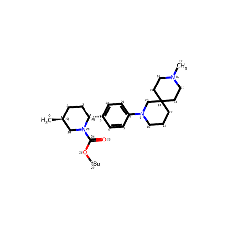 C[C@H]1CC[C@H](c2ccc(N3CCCC4(CCN(C)CC4)C3)cc2)N(C(=O)OC(C)(C)C)C1